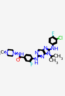 CC(C)n1c(Nc2ccc(F)c(Cl)c2)nc2cnc(Nc3ccc(C(=O)NN4CCN(C)CC4)cc3F)nc21